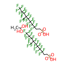 CC(O)O.O=S(=O)(O)CCC(F)(F)C(F)(F)C(F)(F)C(F)(F)C(F)(C(F)(F)F)C(F)(F)C(F)(F)C(F)(F)F.O=S(=O)(O)CCC(F)(F)C(F)(F)C(F)(F)C(F)(F)C(F)(C(F)(F)F)C(F)(F)C(F)(F)C(F)(F)F